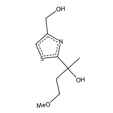 COCCC(C)(O)c1nc(CO)cs1